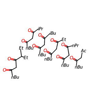 CCCCC(=O)CC(=O)C(C)C.CCCCC(=O)CC(=O)C(C)CC.CCCCC(=O)CC(=O)C(CC)CC.CCCCC(=O)CC(=O)CC.CCCCC(=O)CC(=O)CCC.CCCCC(=O)CC(C)=O